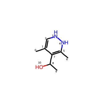 CC1=CNNC(C)=C1C(C)O